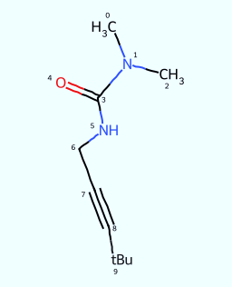 CN(C)C(=O)NCC#CC(C)(C)C